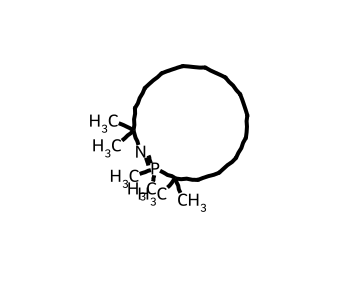 CC1(C)CCCCCCCCCCCCC(C)(C)P(C)(C)=N1